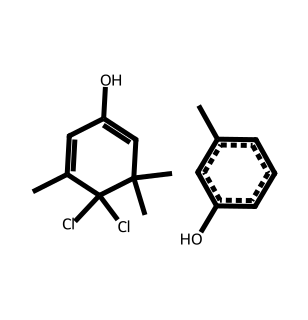 CC1=CC(O)=CC(C)(C)C1(Cl)Cl.Cc1cccc(O)c1